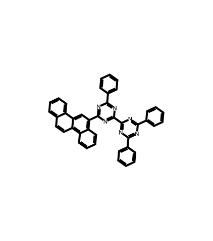 c1ccc(-c2nc(-c3ccccc3)nc(-c3nc(-c4ccccc4)nc(-c4cc5c6ccccc6ccc5c5ccccc45)n3)n2)cc1